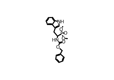 COP(=O)(OC)C(Cc1c[nH]c2ccccc12)NC(=O)OCc1ccccc1